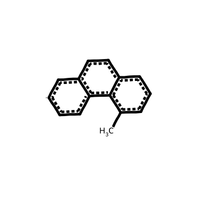 Cc1cccc2ccc3c[c]ccc3c12